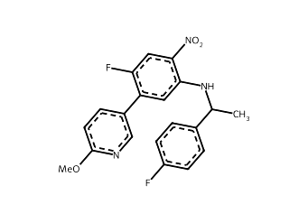 COc1ccc(-c2cc(NC(C)c3ccc(F)cc3)c([N+](=O)[O-])cc2F)cn1